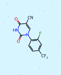 N#Cc1cn(-c2ccc(C(F)(F)F)cc2F)c(=O)[nH]c1=O